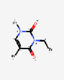 CC(C)Cn1c(=O)c(C(C)C)cn(C(C)C)c1=O